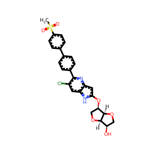 CS(=O)(=O)c1ccc(-c2ccc(-c3nc4cc(O[C@@H]5CO[C@H]6[C@@H]5OC[C@H]6O)[nH]c4cc3Cl)cc2)cc1